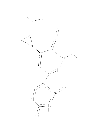 CCN1N=C(c2c[nH]c(=O)[nH]c2=O)C=C([C@H]2C[C@@H]2C(C)C)C1=C=O